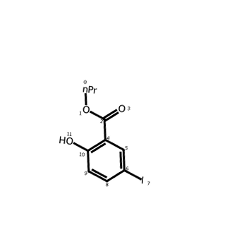 CCCOC(=O)c1cc(I)ccc1O